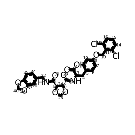 O=C(O)C(Cc1ccc(OCc2c(Cl)cccc2Cl)cc1)NC(=O)[C@@H]1OCO[C@H]1C(=O)NCc1ccc2c(c1)OCO2